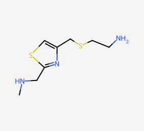 CNCc1nc(CSCCN)cs1